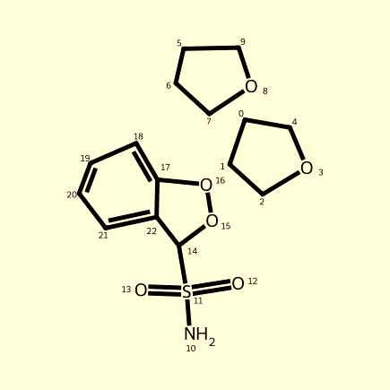 C1CCOC1.C1CCOC1.NS(=O)(=O)C1OOc2ccccc21